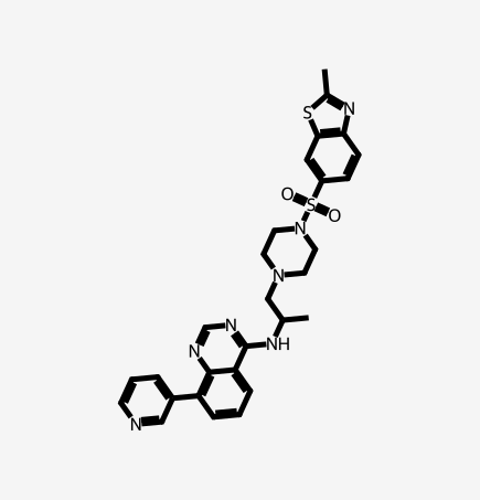 Cc1nc2ccc(S(=O)(=O)N3CCN(CC(C)Nc4ncnc5c(-c6cccnc6)cccc45)CC3)cc2s1